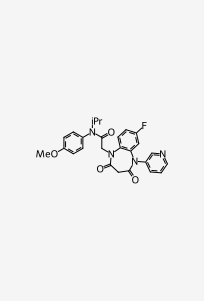 COc1ccc(N(C(=O)CN2C(=O)CC(=O)N(c3cccnc3)c3cc(F)ccc32)C(C)C)cc1